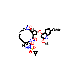 CCOc1cc(O[C@@H]2C[C@H]3C(=O)N[C@]4(C(=O)NS(=O)(=O)C5CC5)C[C@H]4/C=C\CCCCN(C)C(=O)[C@@H]3C2)c2ccc(OC)cc2n1